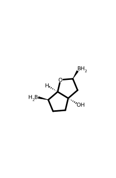 B[C@@H]1CC[C@]2(O)C[C@H](B)O[C@H]12